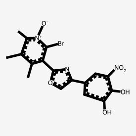 Cc1c(C)c(C)[n+]([O-])c(Br)c1-c1nc(-c2cc(O)c(O)c([N+](=O)[O-])c2)co1